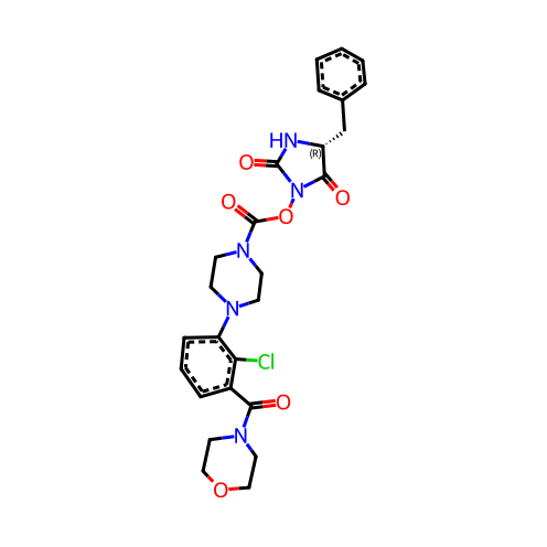 O=C(ON1C(=O)N[C@H](Cc2ccccc2)C1=O)N1CCN(c2cccc(C(=O)N3CCOCC3)c2Cl)CC1